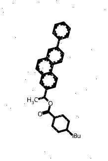 CCC(C)C1CCC(C(=O)OC(C)c2ccc3c(ccc4cc(-c5ccccc5)ccc43)c2)CC1